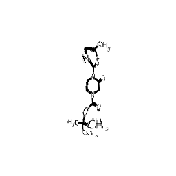 Cc1cnc(N2CCN(C(=O)OC(C)(C)C)CC2=O)s1